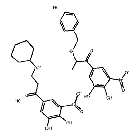 CC(NCc1ccccc1)C(=O)c1cc(O)c(O)c([N+](=O)[O-])c1.Cl.Cl.O=C(CCNC1CCCCC1)c1cc(O)c(O)c([N+](=O)[O-])c1